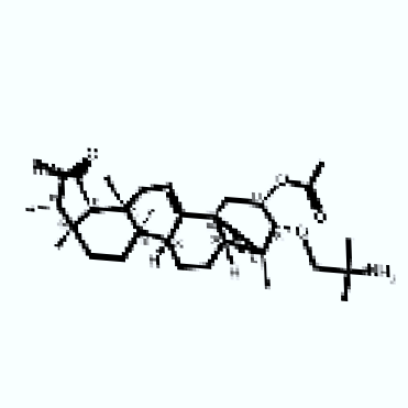 CC(=O)O[C@@H]1C[C@@]23CCOC[C@@](C)([C@@H]2CC[C@H]2C3=CC[C@@]3(C)[C@H](C(=O)O)[C@@](C)([C@H](C)C(C)C)CC[C@]23C)[C@H]1OCC(C)(C)N